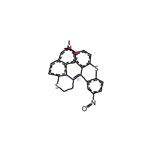 CN(C)c1ccc2c(c1)/C(=C1/CCSc3ccc4ccccc4c31)c1cc(N=O)ccc1S2